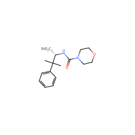 CCOC(=O)[C@H](NC(=O)N1CCOCC1)C(C)(C)c1ccccc1